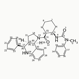 CN(C(=O)N[C@@H]1CCCC[C@@H]1C(=O)N1CC[C@@H]2[C@H](c3ccccc3)Nc3ccccc3[C@@H]21)c1ccccc1